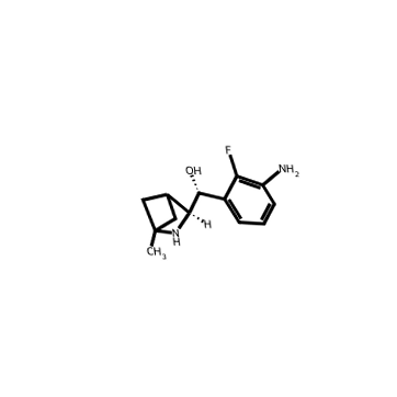 CC12CC(C1)[C@@H]([C@H](O)c1cccc(N)c1F)N2